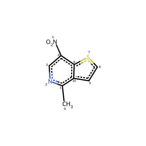 Cc1ncc([N+](=O)[O-])c2sccc12